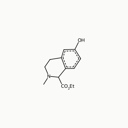 CCOC(=O)C1c2ccc(O)cc2CCN1C